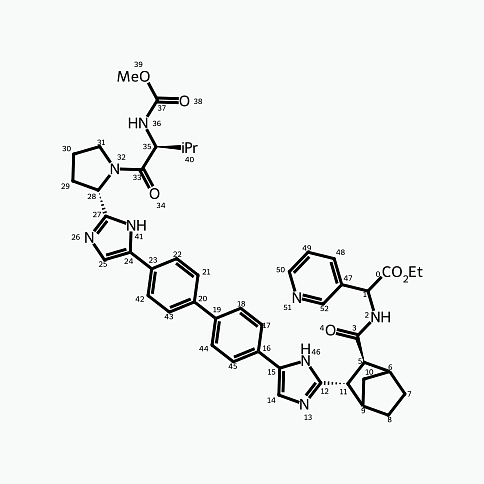 CCOC(=O)C(NC(=O)[C@H]1C2CCC(C2)[C@@H]1c1ncc(-c2ccc(-c3ccc(-c4cnc([C@@H]5CCCN5C(=O)[C@@H](NC(=O)OC)C(C)C)[nH]4)cc3)cc2)[nH]1)c1cccnc1